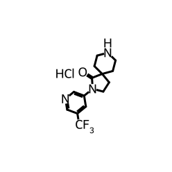 Cl.O=C1N(c2cncc(C(F)(F)F)c2)CCC12CCNCC2